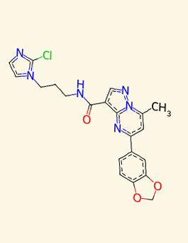 Cc1cc(-c2ccc3c(c2)OCO3)nc2c(C(=O)NCCCn3ccnc3Cl)cnn12